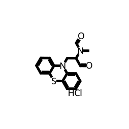 CN(C=O)C(C=O)CN1c2ccccc2Sc2ccccc21.Cl